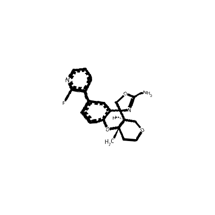 C[C@]12CCOC[C@@H]1C1(COC(N)=N1)c1cc(-c3cccnc3F)ccc1O2